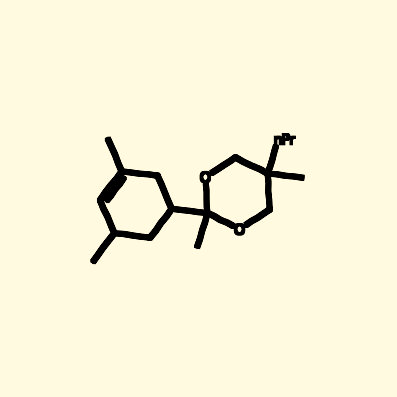 CCCC1(C)COC(C)(C2CC(C)=CC(C)C2)OC1